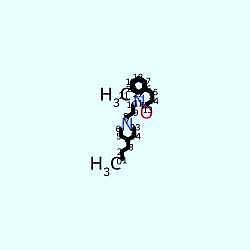 CCCCC1CCN(CCCN2C(=O)CCc3cccc(C)c32)CC1